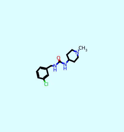 CN1CCC(NC(=O)NCc2cccc(Cl)c2)CC1